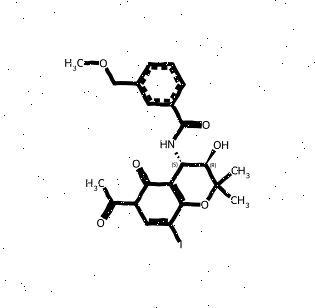 COCc1cccc(C(=O)N[C@H]2C3=C(OC(C)(C)[C@@H]2O)C(I)=CC(C(C)=O)C3=O)c1